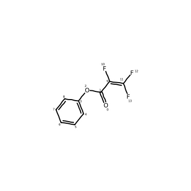 O=C(Oc1ccccc1)C(F)=C(F)F